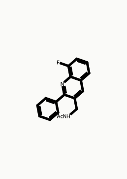 CC(=O)NCc1cc2cccc(F)c2nc1-c1ccccc1